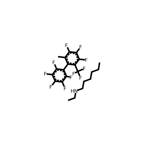 CCCCCCNCC.Cc1c(F)c(F)c(F)c(C(F)(F)F)c1-c1c(F)c(F)c(F)c(F)c1F